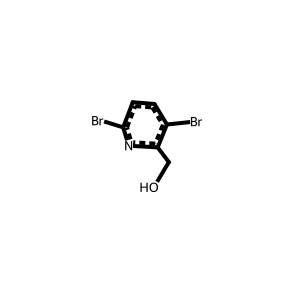 OCc1nc(Br)ccc1Br